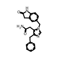 NC(=O)Cc1c(Cc2ccccc2)ncn1Cc1ccc2c(c1)CC(=O)N2